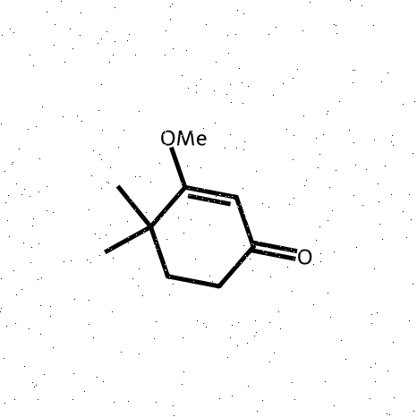 COC1=CC(=O)CCC1(C)C